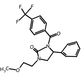 COCCN1CC(c2ccccc2)N(C(=O)c2ccc(C(F)(F)F)cc2)C1=O